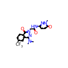 CN(C)c1nn(CC(=O)Nc2ccc(=O)n(C)n2)c(=O)c2ccc(C(F)(F)F)cc12